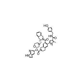 Cc1c(C(=O)NCc2ccc(O)cc2)cc(-c2cc3c(cc2C(=O)N2Cc4ccccc4C[C@H]2CN2CCOCC2)CN(C(=O)Oc2cnc4[nH]ccc4c2)CC3)n1C